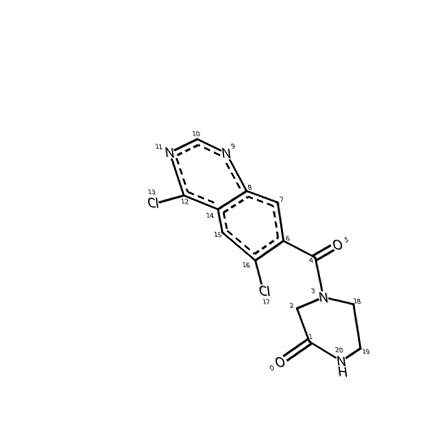 O=C1CN(C(=O)c2cc3ncnc(Cl)c3cc2Cl)CCN1